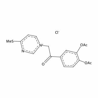 CSc1cc[n+](CC(=O)c2ccc(OC(C)=O)c(OC(C)=O)c2)cn1.[Cl-]